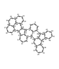 c1cc2c3c(c1)-n1c4c(cccc4c4c5cccc6ccc7cccc(c7c65)c41)B3c1cc3ccccc3c3c4ccccc4n-2c13